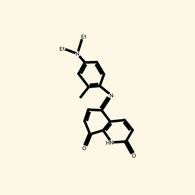 CCN(CC)c1ccc(N=C2C=CC(=O)c3[nH]c(=O)ccc32)c(C)c1